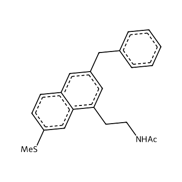 CSc1ccc2cc(Cc3ccccc3)cc(CCNC(C)=O)c2c1